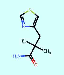 CCC(C)(Cc1cscn1)C(N)=O